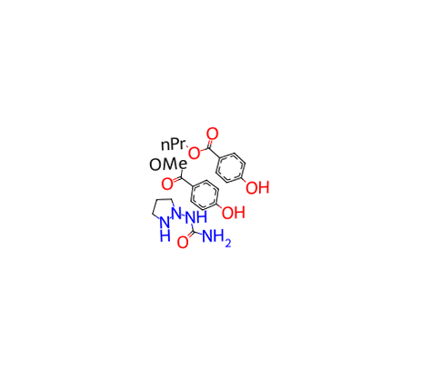 CCCOC(=O)c1ccc(O)cc1.COC(=O)c1ccc(O)cc1.NC(=O)NN1CCCN1